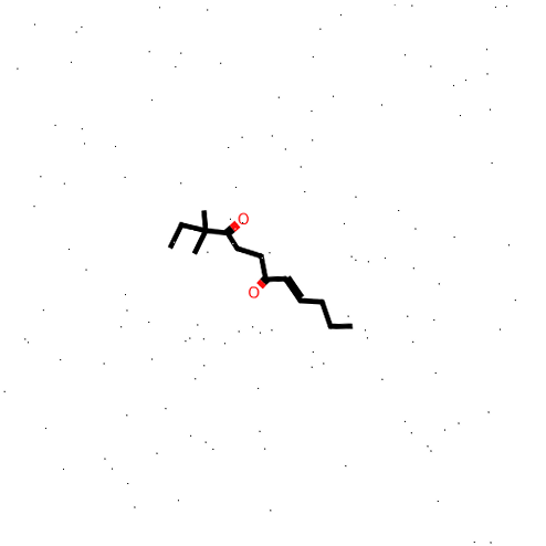 CCC/C=C/C(=O)CCC(=O)C(C)(C)CC